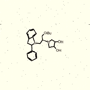 CC(C)COCC(CN1c2ccccc2CC1c1ccccc1)N1CC(O)C(O)C1